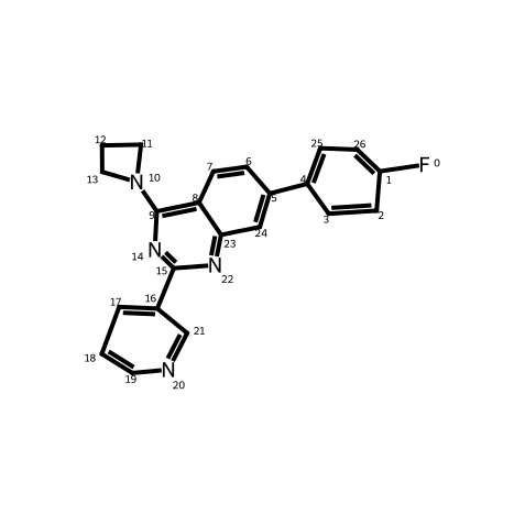 Fc1ccc(-c2ccc3c(N4CCC4)nc(-c4cccnc4)nc3c2)cc1